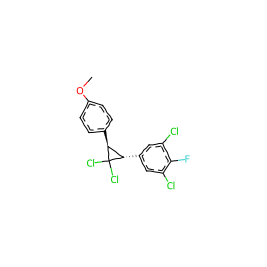 COc1ccc([C@H]2[C@H](c3cc(Cl)c(F)c(Cl)c3)C2(Cl)Cl)cc1